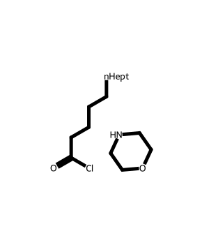 C1COCCN1.CCCCCCCCCCCC(=O)Cl